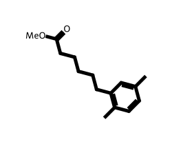 COC(=O)CCCCCc1cc(C)ccc1C